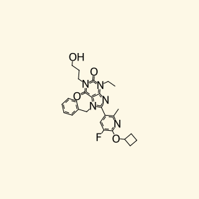 CCn1c(=O)n(CCCO)c(=O)c2c1nc(-c1cc(F)c(OC3CCC3)nc1C)n2Cc1ccccc1